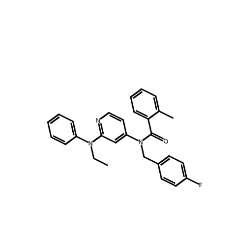 CCN(c1ccccc1)c1cc(N(Cc2ccc(F)cc2)C(=O)c2ccccc2C)ccn1